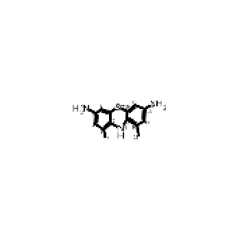 Cc1cc(N)cc2c1Nc1c(C)cc(N)cc1S2